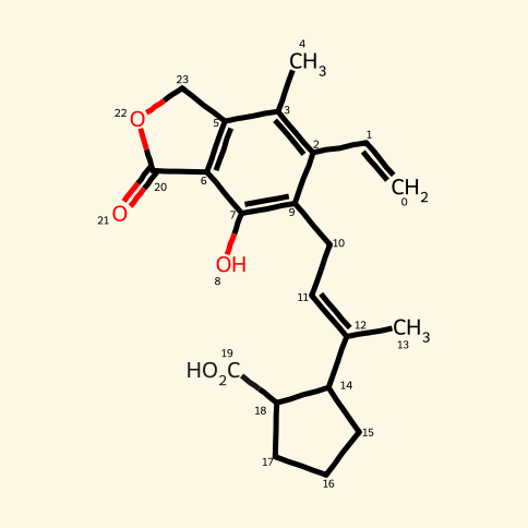 C=Cc1c(C)c2c(c(O)c1C/C=C(\C)C1CCCC1C(=O)O)C(=O)OC2